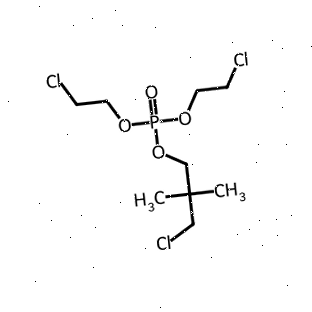 CC(C)(CCl)COP(=O)(OCCCl)OCCCl